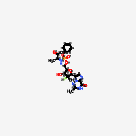 COC(=O)[C@H](C)NP(=O)(OC[C@H]1O[C@@H](c2cnc3c(=O)[nH]c(C)nn23)[C@](C)(F)[C@@H]1O)Oc1ccccc1